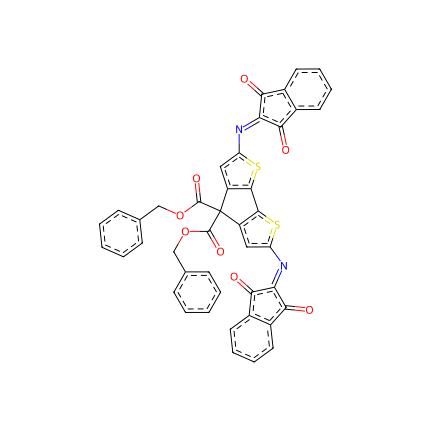 O=C(OCc1ccccc1)C1(C(=O)OCc2ccccc2)c2cc(N=c3c(=O)c4ccccc4c3=O)sc2-c2sc(N=c3c(=O)c4ccccc4c3=O)cc21